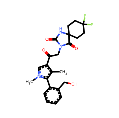 Cc1c(C(=O)CN2C(=O)NC3(CCC(F)(F)CC3)C2=O)cn(C)c1-c1ccccc1CO